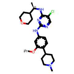 CC(C)Oc1cc(Nc2ncc(Cl)c(N[C@H](C)C3CCOCC3)n2)ccc1C1CCN(C)CC1